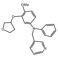 COc1ccc(N(Cc2cccnc2)c2ccccc2)cc1OC1CCOC1